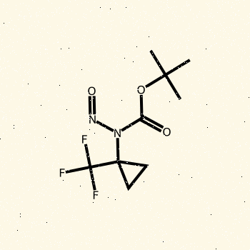 CC(C)(C)OC(=O)N(N=O)C1(C(F)(F)F)CC1